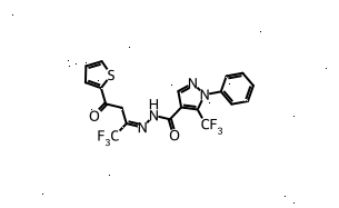 O=C(CC(=NNC(=O)c1cnn(-c2ccccc2)c1C(F)(F)F)C(F)(F)F)c1cccs1